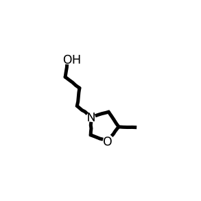 CC1CN(CCCO)CO1